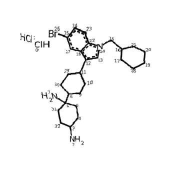 Cl.Cl.NC1CCC(N)(C2CCC(c3cn(CC4CCCCC4)c4ccc(Br)cc34)CC2)CC1